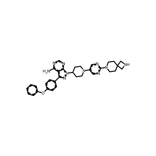 Nc1ncnc2c1c(-c1ccc(Oc3ccccc3)cc1)nn2C1CCN(c2cnc(N3CCC4(CC3)CNC4)nc2)CC1